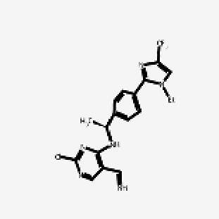 CCn1cc(C(F)(F)F)nc1-c1ccc([C@H](C)Nc2nc(Cl)ncc2C=N)cc1